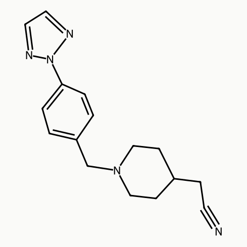 N#CCC1CCN(Cc2ccc(-n3nccn3)cc2)CC1